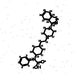 O=C(O)N(c1ccccc1)C1CCC(CCN2CCN(c3nsc4ccccc34)CC2)CC1